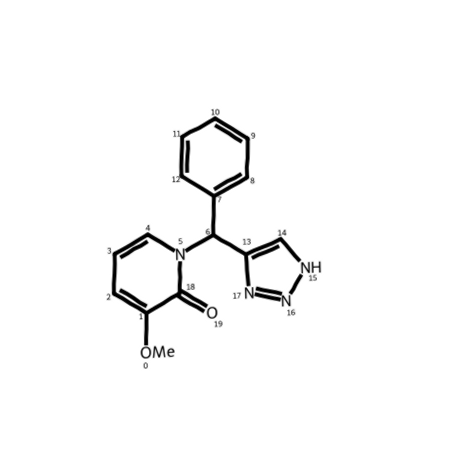 COc1cccn(C(c2ccccc2)c2c[nH]nn2)c1=O